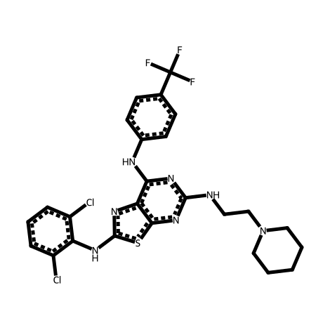 FC(F)(F)c1ccc(Nc2nc(NCCN3CCCCC3)nc3sc(Nc4c(Cl)cccc4Cl)nc23)cc1